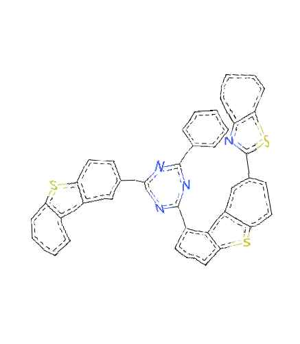 c1ccc(-c2nc(-c3ccc4sc5ccccc5c4c3)nc(-c3cccc4sc5ccc(-c6nc7ccccc7s6)cc5c34)n2)cc1